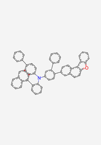 c1ccc(-c2ccc(N(c3ccc(-c4ccc5c(ccc6oc7ccccc7c65)c4)c(-c4ccccc4)c3)c3ccccc3-c3cccc4ccccc34)cc2)cc1